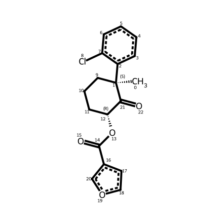 C[C@@]1(c2ccccc2Cl)CCC[C@@H](OC(=O)c2ccoc2)C1=O